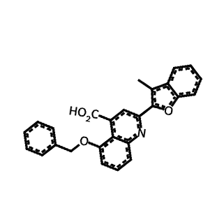 Cc1c(-c2cc(C(=O)O)c3c(OCc4ccccc4)cccc3n2)oc2ccccc12